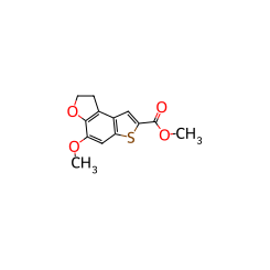 COC(=O)c1cc2c3c(c(OC)cc2s1)OCC3